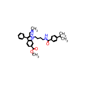 CNCc1c(-c2ccccc2)c2ccc(C(=O)OC)cc2n1CCCCNC(=O)c1ccc(C(C)C)cc1